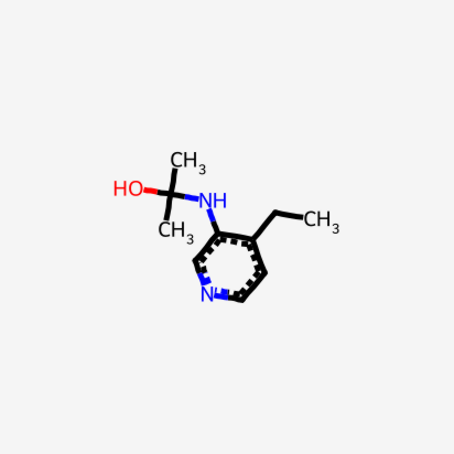 CCc1ccncc1NC(C)(C)O